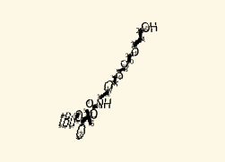 CC(C)(C)OC(=O)C(C)(C)OC(=O)NCCOCCOCCOCCOCCCO